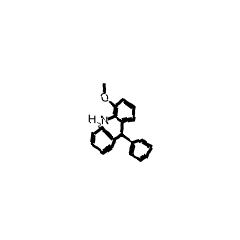 COc1cccc(C(c2ccccc2)c2ccccc2)c1N